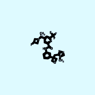 C[C@H](c1cc(C(=O)Nc2cccc(C3(Cc4nncn4C)COC3)c2)nc(C(F)(F)F)c1)N1CC(F)C1